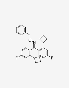 Fc1ccc(C(=NOCc2ccccc2)c2ccc(F)cc2C2CCC2)c(C2CCC2)c1